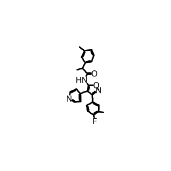 Cc1cccc(C(C)C(=O)Nc2onc(-c3ccc(F)c(C)c3)c2-c2ccncc2)c1